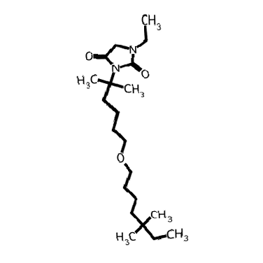 CCN1CC(=O)N(C(C)(C)CCCCOCCCCC(C)(C)CC)C1=O